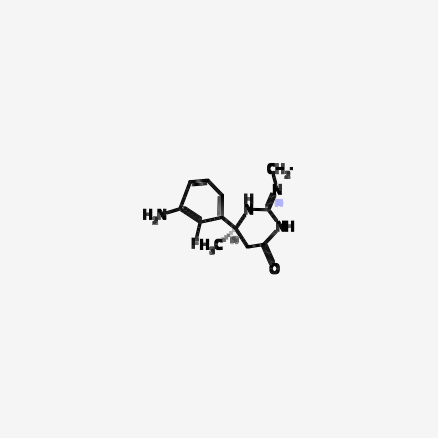 [CH2]/N=C1/NC(=O)C[C@@](C)(c2cccc(N)c2F)N1